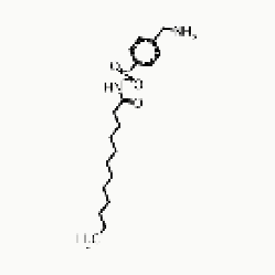 CCCCCCCCCCCC(=O)NS(=O)(=O)c1ccc(CN)cc1